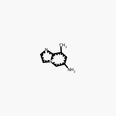 Cc1cc(N)cn2ccnc12